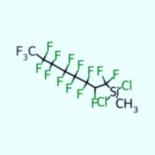 C[Si](Cl)(Cl)C(F)(F)C(F)C(F)(F)C(F)(F)C(F)(F)C(F)(F)C(F)(F)C(F)(F)F